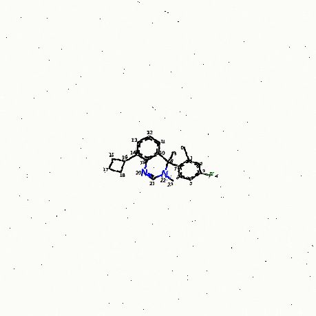 Cc1cc(F)ccc1C1(C)c2cccc(C3CCC3)c2N=CN1C